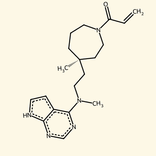 C=CC(=O)N1CCC[C@](C)(CCN(C)c2ncnc3[nH]ccc23)CC1